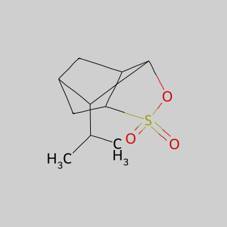 CC(C)C1C2CC3C1OS(=O)(=O)C3C2